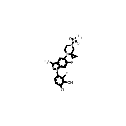 Cc1nn(-c2ccc(Cl)c(O)c2F)c2cc(F)c(N3CCN(S(C)(=O)=O)CC34CC4)cc12